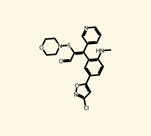 CNc1ccc(-c2cc(Cl)no2)cc1/C(=C(\C=O)SN1CCOCC1)c1cccnc1